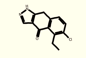 CCc1c(Cl)ccc2c1C(=O)c1cn[nH]c1C2